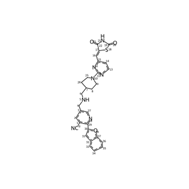 N#Cc1cc(CNCC2CCN(c3nccc(/C=C4\SC(=O)NC4=O)n3)CC2)cnc1-c1cc2ccccc2o1